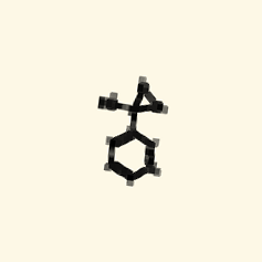 OC1(c2cccnc2)OO1